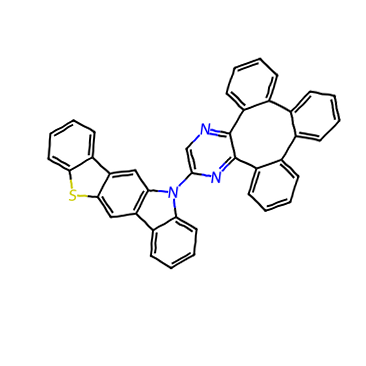 c1ccc2c(c1)-c1ccccc1-c1ncc(-n3c4ccccc4c4cc5sc6ccccc6c5cc43)nc1-c1ccccc1-2